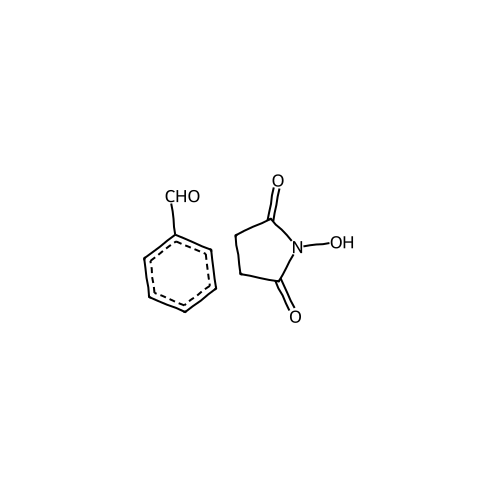 O=C1CCC(=O)N1O.O=Cc1ccccc1